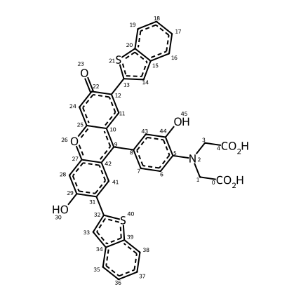 O=C(O)CN(CC(=O)O)c1ccc(-c2c3cc(-c4cc5ccccc5s4)c(=O)cc-3oc3cc(O)c(-c4cc5ccccc5s4)cc23)cc1O